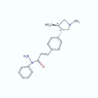 CN1C[C@H](C(=O)O)[C@@H](c2ccc(C=CC(=O)N(N)c3ccccc3)cc2)C1